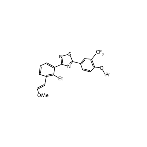 CCc1c(/C=C/OC)cccc1-c1nsc(-c2ccc(OC(C)C)c(C(F)(F)F)c2)n1